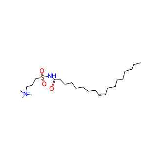 CCCCCCCC/C=C\CCCCCCCC(=O)NS(=O)(=O)CCC[N+](C)(C)C